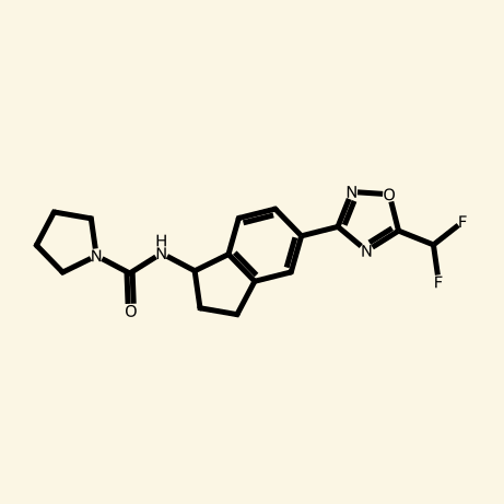 O=C(NC1CCc2cc(-c3noc(C(F)F)n3)ccc21)N1CCCC1